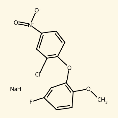 COc1ccc(F)cc1Oc1ccc([N+](=O)[O-])cc1Cl.[NaH]